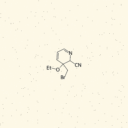 CCOC1(CBr)C=CC=NC1C#N